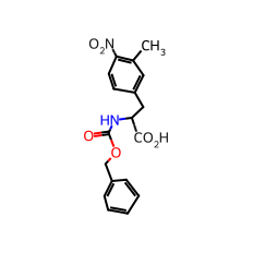 Cc1cc(CC(NC(=O)OCc2ccccc2)C(=O)O)ccc1[N+](=O)[O-]